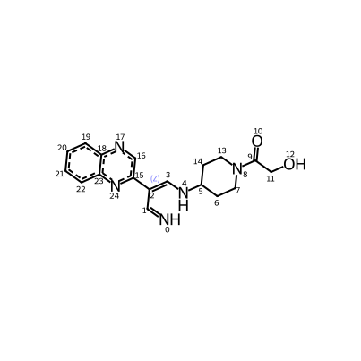 N=C/C(=C\NC1CCN(C(=O)CO)CC1)c1cnc2ccccc2n1